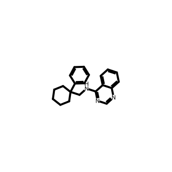 c1ccc(C2(CNc3ncnc4ccccc34)CCCCC2)cc1